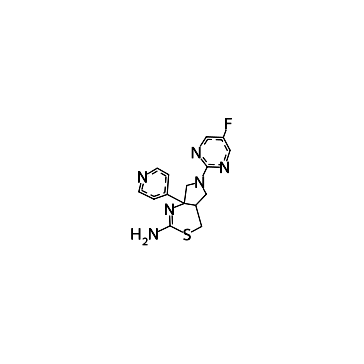 NC1=NC2(c3ccncc3)CN(c3ncc(F)cn3)CC2CS1